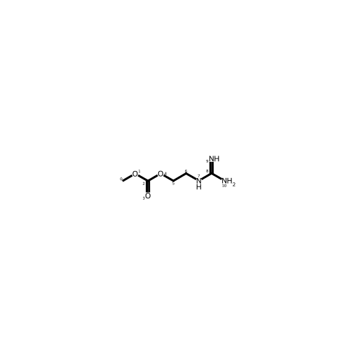 COC(=O)OCCNC(=N)N